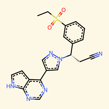 CCS(=O)(=O)c1cccc([C@H](CC#N)n2cc(-c3ncnc4[nH]ccc34)cn2)c1